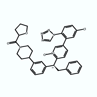 O=C(C1CCCO1)N1CCC(c2cccc([C@H](Cc3ccccc3)c3ccc(-c4cc(Cl)ccc4-n4cnnn4)c[n+]3[O-])c2)CC1